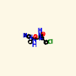 CN(C)C1CCN(C[C@@H](NC(=O)C[C@H]2CNC(=O)c3cc(-c4cccc(Cl)c4)cn32)C2CCCCC2)CC1